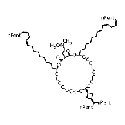 CCCCC/C=C\C/C=C\CCCCCCCCC1CCCCCCCCC(=C2CC(=C(CCCCC)CCCCC)C2)CCCCCCCCC(CCCCCCCC/C=C\C/C=C\CCCCC)OC(=O)C(CCN(C)C)C(=O)O1